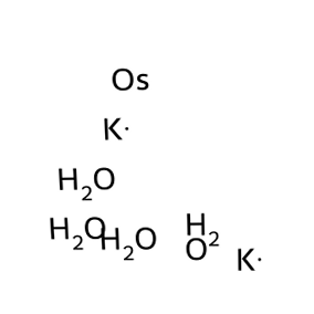 O.O.O.O.[K].[K].[Os]